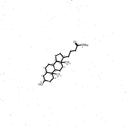 COC(=O)CCCC1CCC2C3CCC4CC(O)CCC4(C)C3CCC12C